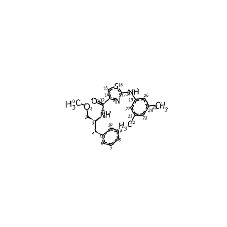 COC[C@H](Cc1ccccc1)NC(=O)c1csc(Nc2cc(C)cc(C)c2)n1